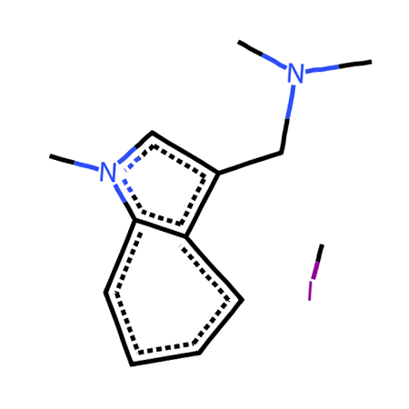 CI.CN(C)Cc1cn(C)c2ccccc12